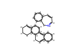 C1=Cc2ccccc2CN=C1.C1=c2ccc3c(c2CCC1)CC=c1ccccc1=3